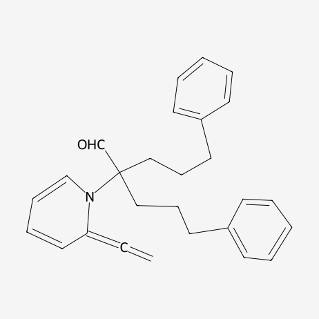 C=C=C1C=CC=CN1C(C=O)(CCCc1ccccc1)CCCc1ccccc1